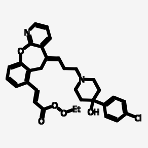 CCOOC(=O)C=Cc1cccc2c1CC(=CCCN1CCC(O)(c3ccc(Cl)cc3)CC1)c1cccnc1O2